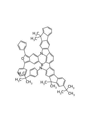 CC(C)(C)c1ccc(N2B3c4cc5c(-c6ccccc6)oc(-c6ccccc6)c5cc4-n4c5cc6c(cc5c5ccc(c3c54)-c3cc4c(cc32)C(C)(C)c2cc(C(C)(C)C)ccc2-4)-c2ccccc2C6(C)C)cc1